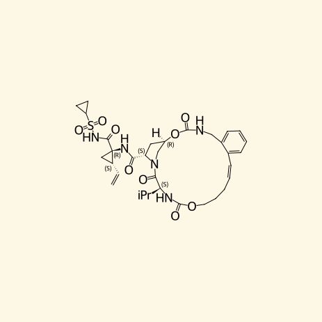 C=C[C@@H]1C[C@]1(NC(=O)[C@@H]1C[C@@H]2CN1C(=O)[C@H](C(C)C)NC(=O)OCCCC=Cc1ccccc1CNC(=O)O2)C(=O)NS(=O)(=O)C1CC1